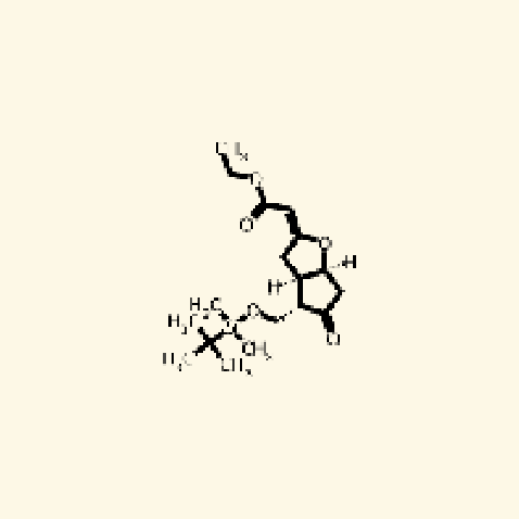 CCOC(=O)/C=C1\C[C@H]2[C@H](CC(=O)[C@@H]2CO[Si](C)(C)C(C)(C)C)O1